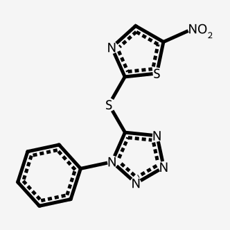 O=[N+]([O-])c1cnc(Sc2nnnn2-c2ccccc2)s1